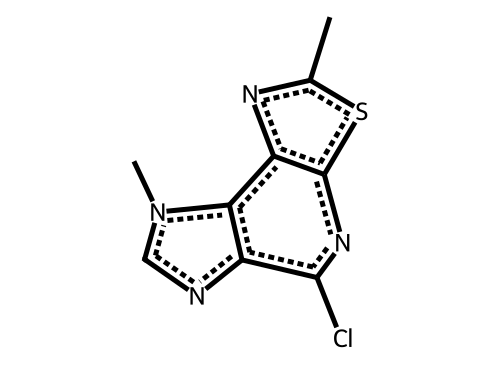 Cc1nc2c(nc(Cl)c3ncn(C)c32)s1